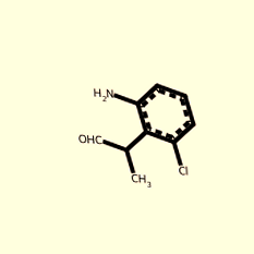 CC(C=O)c1c(N)cccc1Cl